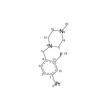 CC(C)c1ccc(CN2CCN(C)CC2)c(F)c1